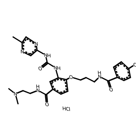 Cc1cnc(NC(=O)Nc2cc(C(=O)NCCN(C)C)ccc2OCCCNC(=O)c2ccc(Cl)cc2)cn1.Cl